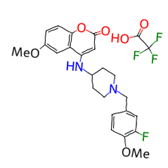 COc1ccc2oc(=O)cc(NC3CCN(Cc4ccc(OC)c(F)c4)CC3)c2c1.O=C(O)C(F)(F)F